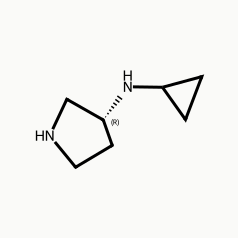 C1C[C@@H](NC2CC2)CN1